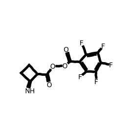 N=C1CCC1C(=O)OOC(=O)c1c(F)c(F)c(F)c(F)c1F